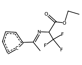 CCOC(=O)C(N=C(C)c1ccccc1)C(F)(F)F